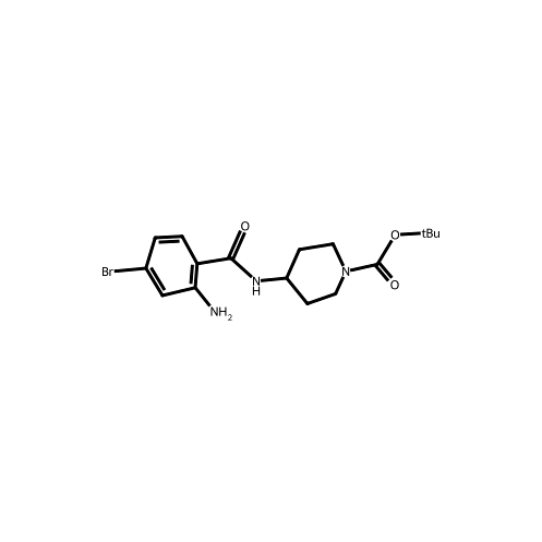 CC(C)(C)OC(=O)N1CCC(NC(=O)c2ccc(Br)cc2N)CC1